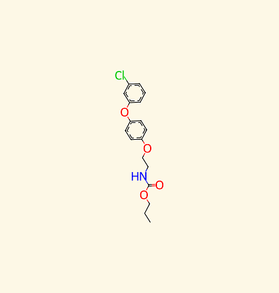 CCCOC(=O)NCCOc1ccc(Oc2cccc(Cl)c2)cc1